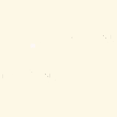 C=C(N)/C=C\CCCN